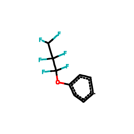 FC(F)C(F)(F)C(F)(F)Oc1cc[c]cc1